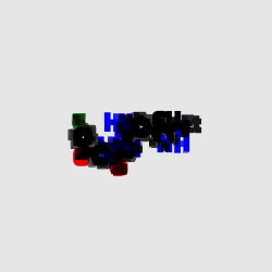 CCNCc1cncc(-c2ccc3[nH]nc(-c4ncc(C(=O)N5CCC(C(=O)c6ccc(F)cc6)CC5)[nH]4)c3c2)c1C